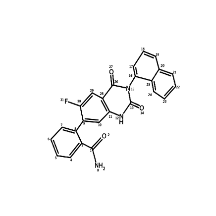 NC(=O)c1ccccc1-c1cc2[nH]c(=O)n(-c3cccc4ccccc34)c(=O)c2cc1F